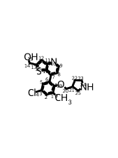 Cc1cc(Cl)cc(-c2ccnc3cc(CO)sc23)c1OCC1CCNC1